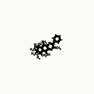 Bc1c2c(c(O)c3nc(C)c(-c4ccccc4)nc13)C(C)(C)C(C)(C)C2(C)C